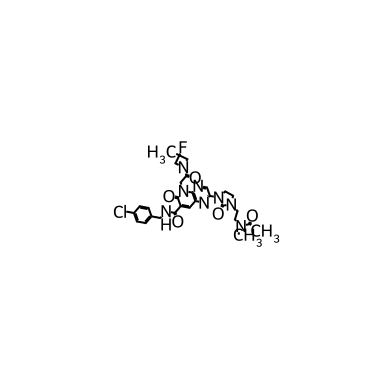 CC(=O)N(C)CCN1CCN(c2cnc3c(cc(C(=O)NCc4ccc(Cl)cc4)c(=O)n3CC(=O)N3CC(C)(F)C3)n2)C1=O